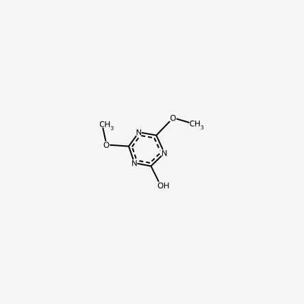 COc1nc(O)nc(OC)n1